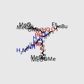 CCCCC(CC)COCC(O)CN(CCN(CCNCCNCCN)CC(O)COCCC[Si](OC)(OC)OC)CC(O)COCCC[Si](OC)(OC)OC